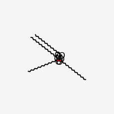 CCCCCCCCCCCCCCCCCC(=O)[O][Ti](=[O])([O]C(=O)CCCCCCCCCCCCCCCCC)([C](=O)CCCCCCCCCCCCCCCCC)[C](=O)CCCCCCCCCCCCCCCCC